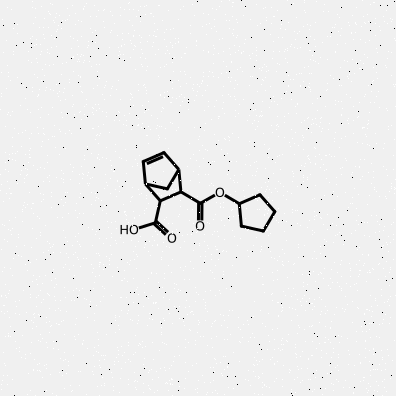 O=C(O)C1C2C=CC(C2)C1C(=O)OC1CCCC1